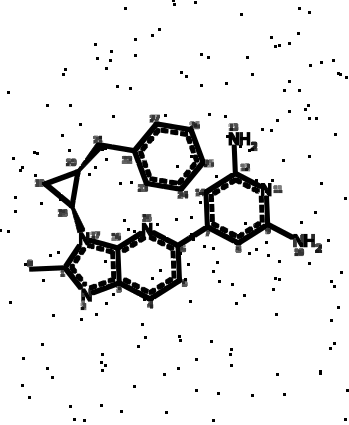 Cc1nc2ccc(-c3cc(N)nc(N)c3)nc2n1[C@H]1C[C@H]1Cc1ccccc1